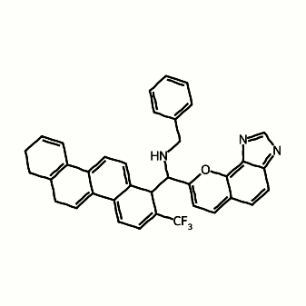 FC(F)(F)C1=CC=c2c(ccc3c2=CCC2=C3C=CCC2)C1C(NCc1ccccc1)c1ccc2ccc3ncnc3c2o1